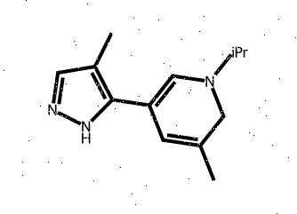 CC1=CC(c2[nH]ncc2C)=CN(C(C)C)C1